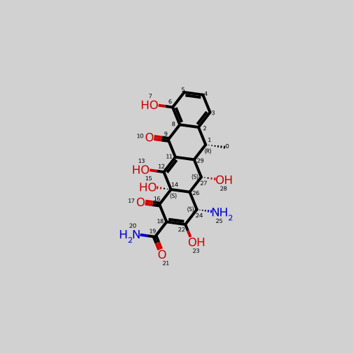 C[C@H]1c2cccc(O)c2C(=O)C2=C(O)[C@]3(O)C(=O)C(C(N)=O)=C(O)[C@@H](N)C3[C@@H](O)C21